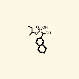 CCC(C)OP(=O)(O)C(O)c1ccc2ccccc2c1